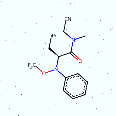 CC(C)C[C@@H](C(=O)N(C)CC#N)N(OC(F)(F)F)c1ccccc1